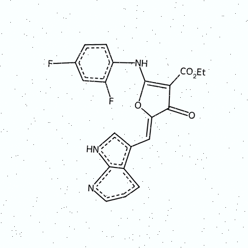 CCOC(=O)C1=C(Nc2ccc(F)cc2F)OC(=Cc2c[nH]c3ncccc23)C1=O